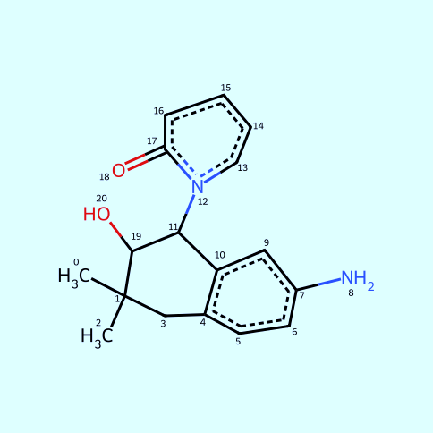 CC1(C)Cc2ccc(N)cc2C(n2ccccc2=O)C1O